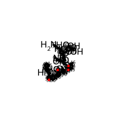 CNC(=O)CCN(CCOC12CC3(C)CC(C)(CC(Cn4ncc(-c5ccc(N6CCc7cccc(C(=O)Nc8nc9ccccc9s8)c7C6)nc5C(=O)O)c4C)(C3)C1)C2)C(=O)OCc1ccc(CCCCN)cc1O[C@H]1O[C@@H](C(=O)O)[C@H](O)[C@@H](O)[C@@H]1O